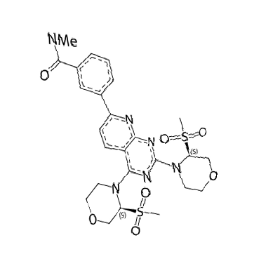 CNC(=O)c1cccc(-c2ccc3c(N4CCOC[C@@H]4S(C)(=O)=O)nc(N4CCOC[C@@H]4S(C)(=O)=O)nc3n2)c1